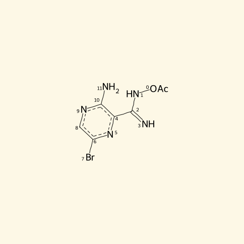 CC(=O)ONC(=N)c1nc(Br)cnc1N